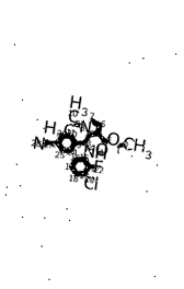 CCOC(=O)c1ccn(C(C)C)c1C(Nc1cccc(Cl)c1F)c1ccc(C#N)cc1